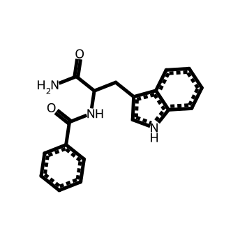 NC(=O)C(Cc1c[nH]c2ccccc12)NC(=O)c1ccccc1